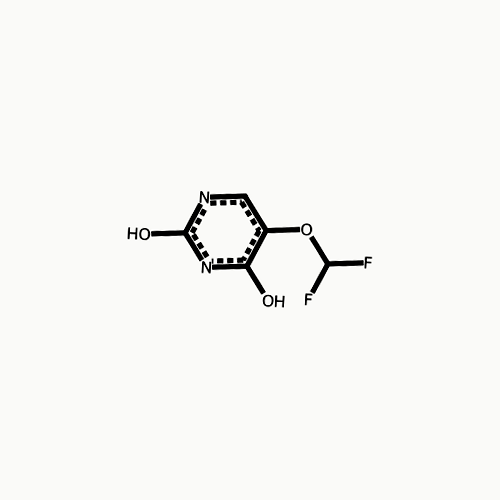 Oc1ncc(OC(F)F)c(O)n1